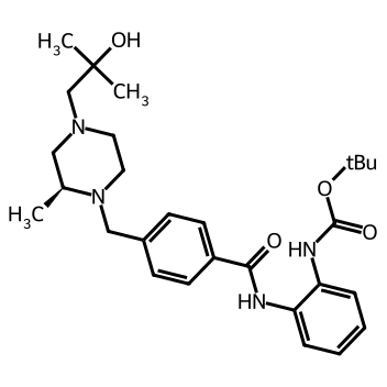 C[C@H]1CN(CC(C)(C)O)CCN1Cc1ccc(C(=O)Nc2ccccc2NC(=O)OC(C)(C)C)cc1